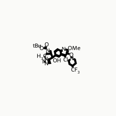 COc1nc2ccc(C(O)(c3cnnn3C)C3CN(C(=O)OC(C)(C)C)C3)cc2c(Cl)c1ON1CCC(C(F)(F)F)CC1